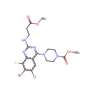 CC(C)(C)OC(=O)CCNc1nc(N2CCN(C(=O)OC(C)(C)C)CC2)c2cc(Cl)c(Br)c(F)c2n1